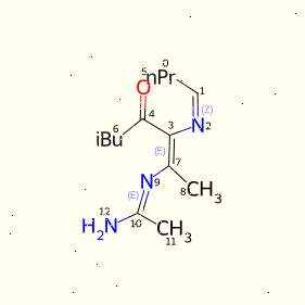 CCC\C=N/C(C(=O)C(C)CC)=C(C)/N=C(\C)N